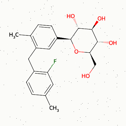 Cc1ccc(Cc2cc([C@@H]3O[C@H](CO)[C@@H](O)[C@H](O)[C@H]3O)ccc2C)c(F)c1